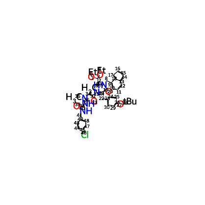 CCOC(OCC)[C@H](C)N(Cc1cccc2ccccc12)C(=O)[C@H](Cc1ccc(OC(C)(C)C)cc1)NC(=O)CN(C)NC(=O)NCc1ccc(Cl)cc1